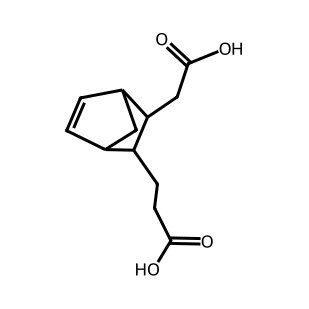 O=C(O)CCC1C2C=CC(C2)C1CC(=O)O